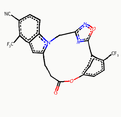 N#Cc1ccc2c(cc3n2Cc2noc(n2)-c2cc(ccc2C(F)(F)F)OC(=O)CC3)c1C(F)(F)F